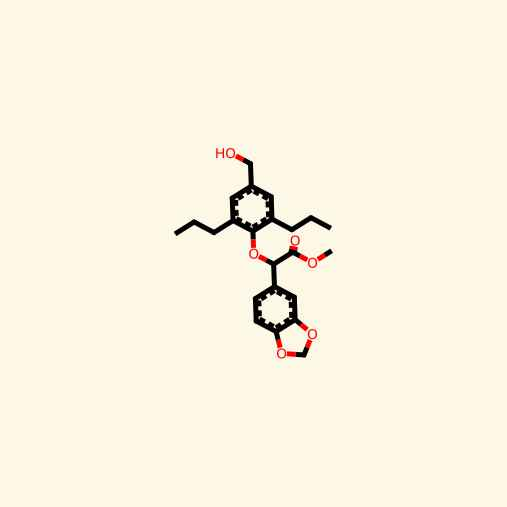 CCCc1cc(CO)cc(CCC)c1OC(C(=O)OC)c1ccc2c(c1)OCO2